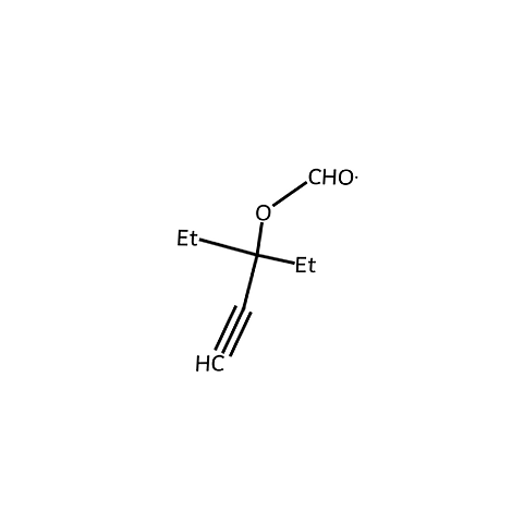 C#CC(CC)(CC)O[C]=O